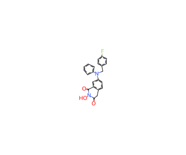 O=C1Cc2ccc(N(Cc3ccc(F)cc3)c3ccccc3)cc2C(=O)N1O